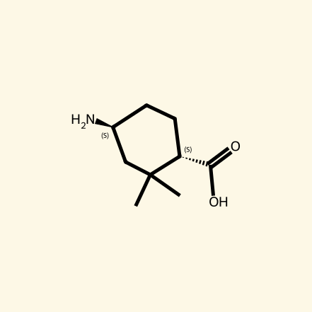 CC1(C)C[C@@H](N)CC[C@@H]1C(=O)O